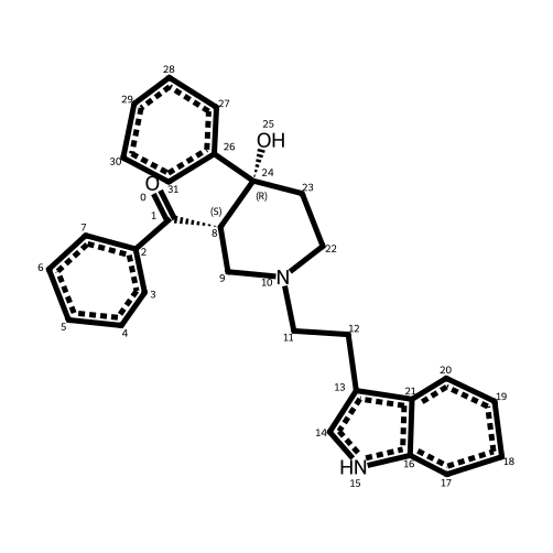 O=C(c1ccccc1)[C@H]1CN(CCc2c[nH]c3ccccc23)CC[C@]1(O)c1ccccc1